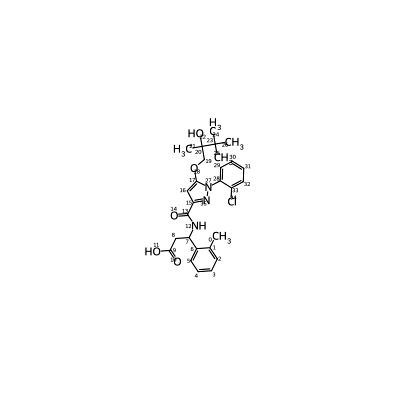 Cc1ccccc1C(CC(=O)O)NC(=O)c1cc(OCC(C)(O)C(C)(C)C)n(-c2ccccc2Cl)n1